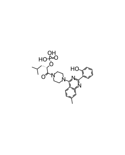 Cc1ccc2c(N3CCN(C(=O)[C@H](CC(C)C)OP(=O)(O)O)CC3)nc(-c3ccccc3O)nc2c1